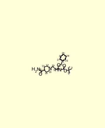 CC(C)(C)OC(=O)N[C@@H](CCN1CCC(C(N)=O)CC1)OCc1ccccc1